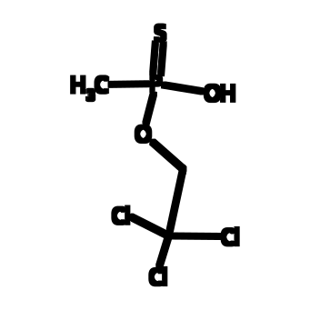 CP(O)(=S)OCC(Cl)(Cl)Cl